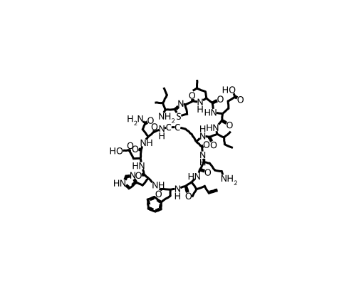 C=CCC(C)C1NC(=O)C(CCCN)NC(=O)C(NC(=O)C(NC(=O)C(CCC(=O)O)NC(=O)C(CC(C)C)NC(=O)C2CSC(C(N)C(C)CC)=N2)C(C)CC)CCCCNC(=O)C(CC(N)=O)NC(=O)C(CC(=O)O)NC(=O)C(Cc2c[nH]cn2)NC(=O)C(Cc2ccccc2)NC1=O